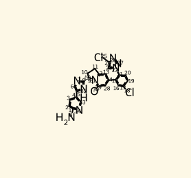 Nc1ccc(-c2cnc([C@@H]3CCc4cc(-c5cc(Cl)ccc5-n5cc(Cl)nn5)cc(=O)n43)[nH]2)cn1